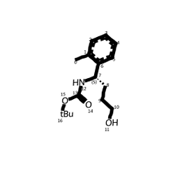 Cc1ccccc1[C@H](CCCO)NC(=O)OC(C)(C)C